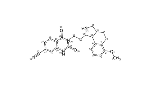 COc1cccc2c1CCC1CNC(CCn3c(=O)[nH]c4cc(C#N)ccc4c3=O)C21